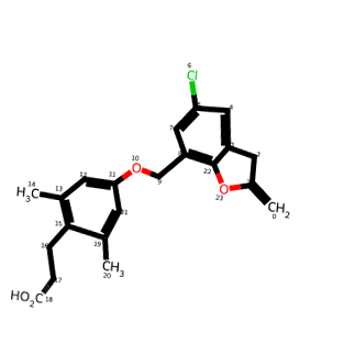 C=C1Cc2cc(Cl)cc(COc3cc(C)c(CCC(=O)O)c(C)c3)c2O1